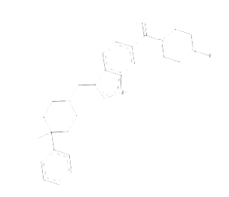 CC(C)N1CCN(C(=O)c2ccc3c(CN4CCC(O)(c5ccccc5)CC4)c[nH]c3c2)CC1